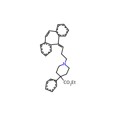 CCOC(=O)C1(c2ccccc2)CCN(CCC=C2c3ccccc3C=Cc3ccccc32)CC1